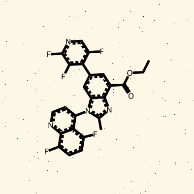 CCOC(=O)c1cc(-c2c(F)cnc(F)c2F)cc2c1nc(C)n2-c1ccnc2c(F)ccc(F)c12